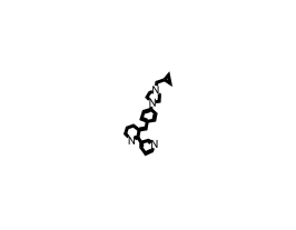 C(=C1/CCCN=C1c1cccnc1)/c1ccc(N2CCN(CC3CC3)CC2)cc1